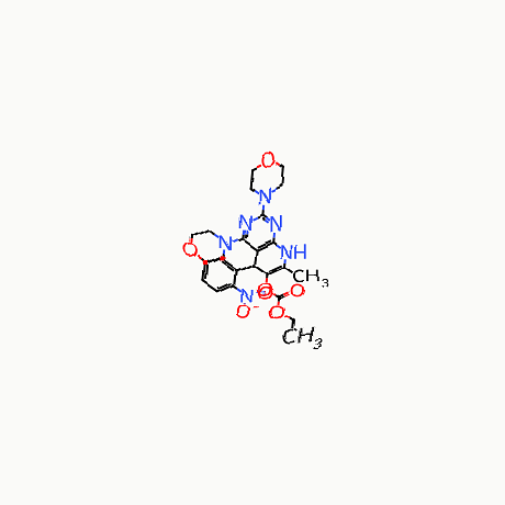 CCOC(=O)OC1=C(C)Nc2nc(N3CCOCC3)nc(N3CCOCC3)c2C1c1ccccc1[N+](=O)[O-]